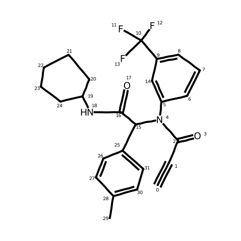 C#CC(=O)N(c1cccc(C(F)(F)F)c1)C(C(=O)NC1CCCCC1)c1ccc(C)cc1